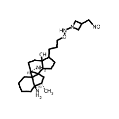 C[C@H]1CC23C4CCC(CCCONN5CC(CN=O)C5)C4(C)CC[C@]2(N)C32CCCCC12N